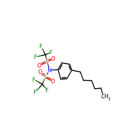 CCCCCCc1ccc(N(S(=O)(=O)C(F)(F)F)S(=O)(=O)C(F)(F)F)cc1